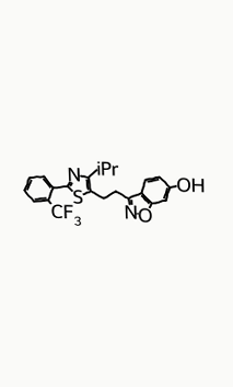 CC(C)c1nc(-c2ccccc2C(F)(F)F)sc1CCc1noc2cc(O)ccc12